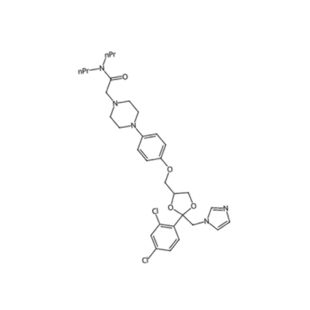 CCCN(CCC)C(=O)CN1CCN(c2ccc(OCC3COC(Cn4ccnc4)(c4ccc(Cl)cc4Cl)O3)cc2)CC1